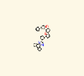 CC12C=CC(c3ccccc3)=CC1c1c(ccc3c1oc1c(-c4cccc(-c5cnc6c7ccccc7c7ccccc7c6n5)c4)cccc13)O2